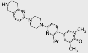 Cc1cc(-c2ccc(N3CCN(c4ccc5c(n4)CCNC5)CC3)nc2C(C)C)cn(C)c1=O